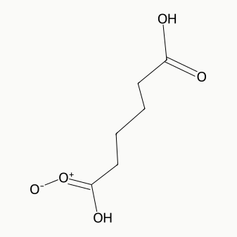 O=C(O)CCCCC(O)=[O+][O-]